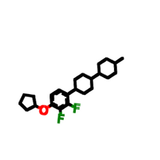 CC1CCC(C2CCC(c3ccc(OC4CCCC4)c(F)c3F)CC2)CC1